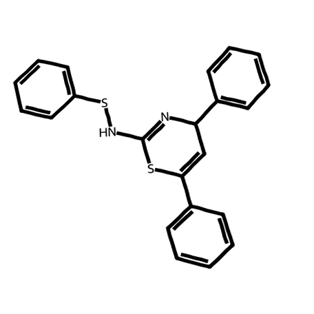 C1=C(c2ccccc2)SC(NSc2ccccc2)=NC1c1ccccc1